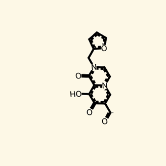 O=[C]c1cn2ccn(Cc3ccco3)c(=O)c2c(O)c1=O